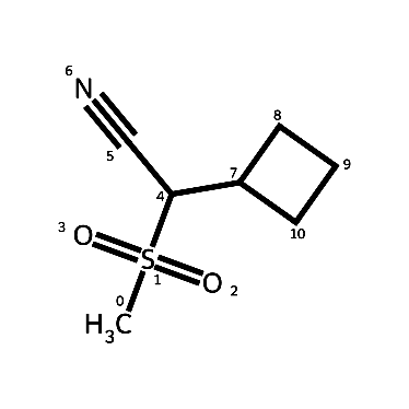 CS(=O)(=O)C(C#N)C1CCC1